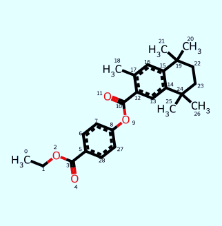 CCOC(=O)c1ccc(OC(=O)c2cc3c(cc2C)C(C)(C)CCC3(C)C)cc1